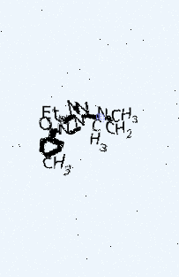 C=C(C)/N=C(\C)c1nnc2n1CCN(C(=O)c1ccc(C)cc1)[C@@H]2CC